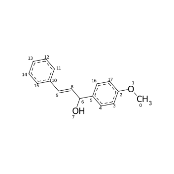 COc1ccc(C(O)/C=C/c2ccccc2)cc1